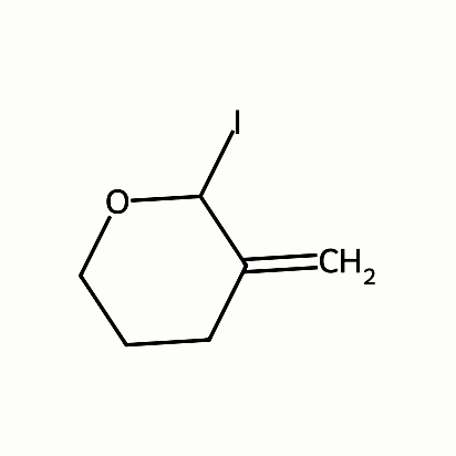 C=C1CCCOC1I